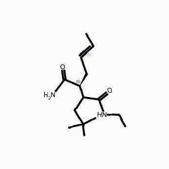 C/C=C/C[C@H](C(N)=O)C(CC(C)(C)C)C(=O)NCC